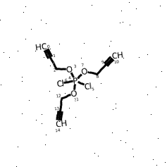 C#CCOP(Cl)(Cl)(OCC#C)OCC#C